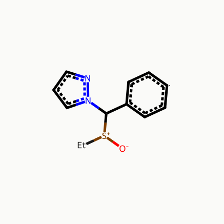 CC[S+]([O-])C(c1cc[c]cc1)n1cccn1